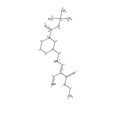 CCOC(=O)/C(C=N)=C/NCC1CCCN(C(=O)OC(C)(C)C)C1